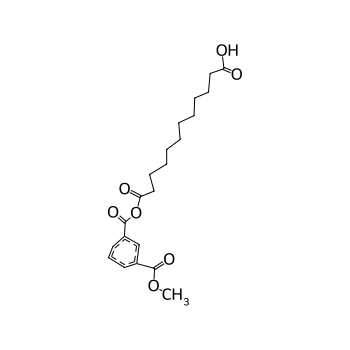 COC(=O)c1cccc(C(=O)OC(=O)CCCCCCCCCCC(=O)O)c1